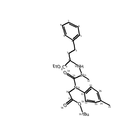 CCOC(=O)C(CCc1ccccc1)NN(C)C(=O)N(CC(=O)OC(C)(C)C)c1ccc(C)cc1